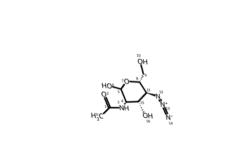 CC(=O)N[C@@H]1C(O)O[C@H](CO)[C@@H](N=[N+]=[N-])[C@@H]1O